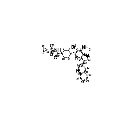 Nc1c(Br)c([C@H]2CC[C@H](C(=O)NS(=O)(=O)C3CC3)CC2)nc2c(-c3cnc4ccccc4c3)cnn12